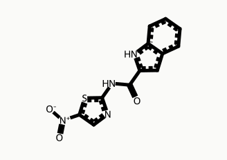 O=C(Nc1ncc([N+](=O)[O-])s1)c1cc2ccccc2[nH]1